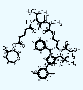 CC(C)[C@H](NC(=O)CCCC(=O)ON1COCCCC1=O)C(=O)N[C@@H](C)C(=O)NCCCN(C(=O)CO)[C@@H](c1cc(-c2cc(F)ccc2F)cn1Cc1ccccc1)C(C)(C)C